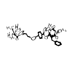 CCC(C)(C)C(=O)OCCCCOc1ccc(C(=O)Oc2c(Cc3ccccc3)c(=O)n(C)c(=O)n2C)cc1